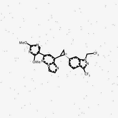 COc1ncc(-c2cc(C3C[C@@H]3c3ccc4c(C(F)(F)F)nn(CC(F)(F)F)c4c3)c3nccn3n2)c(OC)n1